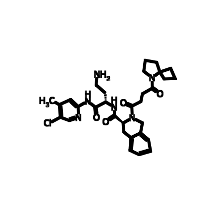 Cc1cc(NC(=O)[C@H](CCN)NC(=O)[C@@H]2Cc3ccccc3CN2C(=O)CCC(=O)N2CCCC23CCC3)ncc1Cl